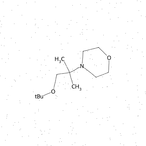 CC(C)(C)OCC(C)(C)N1CCOCC1